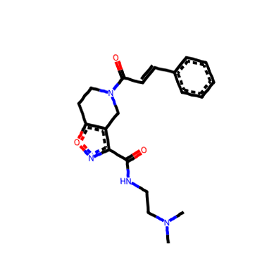 CN(C)CCNC(=O)c1noc2c1CN(C(=O)C=Cc1ccccc1)CC2